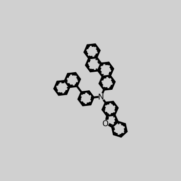 c1cc(-c2cccc3ccccc23)cc(N(c2ccc3c(c2)oc2ccccc23)c2ccc3ccc4c5ccccc5ccc4c3c2)c1